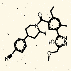 CCc1cc(C)c(-c2nnc(COC)[nH]2)cc1C(=O)N1CCC(c2ccc(C#N)cc2)CC1I